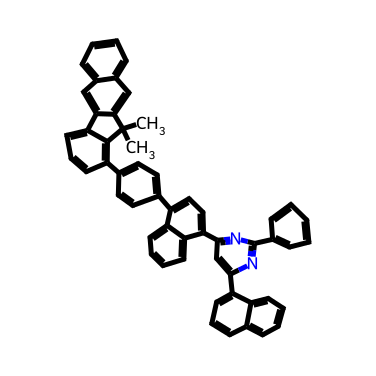 CC1(C)c2cc3ccccc3cc2-c2cccc(-c3ccc(-c4ccc(-c5cc(-c6cccc7ccccc67)nc(-c6ccccc6)n5)c5ccccc45)cc3)c21